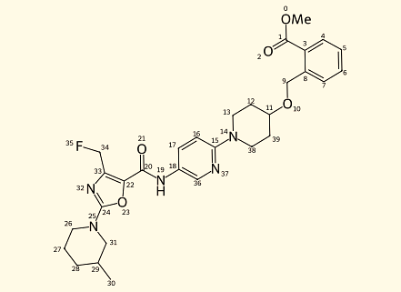 COC(=O)c1ccccc1COC1CCN(c2ccc(NC(=O)c3oc(N4CCCC(C)C4)nc3CF)cn2)CC1